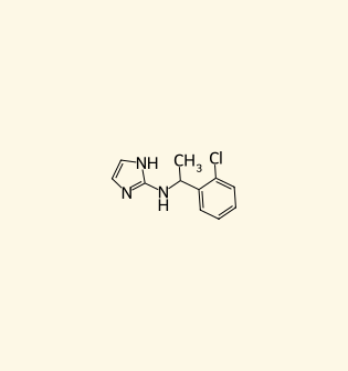 CC(Nc1ncc[nH]1)c1ccccc1Cl